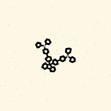 c1ccc(N(c2ccccc2)c2ccc(-c3ccc(C4(c5ccc(-c6ccc(N(c7ccccc7)c7ccccc7)cc6)cc5)c5ccccc5-c5ccccc54)cc3)cc2)cc1